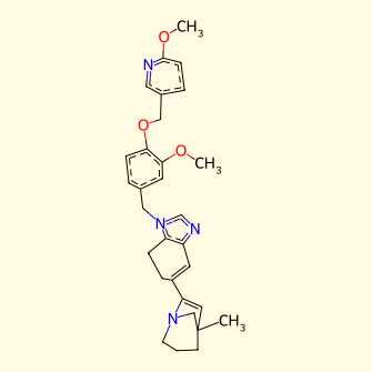 COc1ccc(COc2ccc(Cn3cnc4c3CCC(C3=CC5(C)CCCN3C5)=C4)cc2OC)cn1